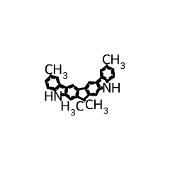 Cc1ccc2[nH]c3cc4c(cc3c2c1)-c1cc2c(cc1C4(C)C)[nH]c1ccc(C)cc12